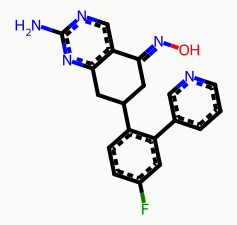 Nc1ncc2c(n1)CC(c1ccc(F)cc1-c1cccnc1)CC2=NO